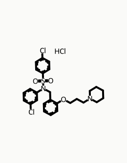 Cl.O=S(=O)(c1ccc(Cl)cc1)N(Cc1ccccc1OCCCN1CCCCC1)c1cccc(Cl)c1